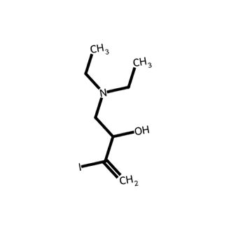 C=C(I)C(O)CN(CC)CC